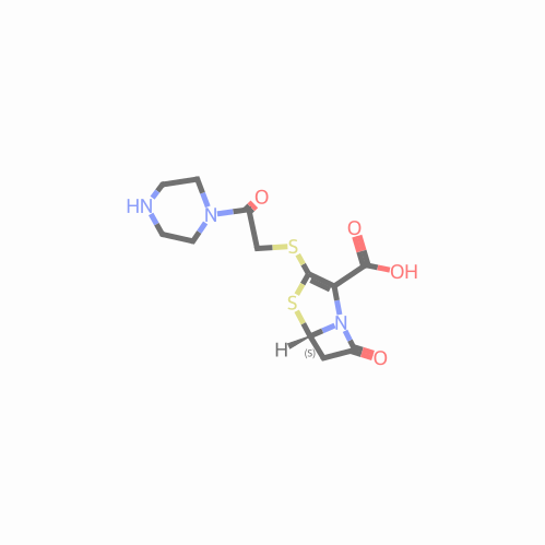 O=C(O)C1=C(SCC(=O)N2CCNCC2)S[C@H]2CC(=O)N12